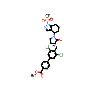 CC(C)(C)OC(=O)c1ccc(-c2cc(Cl)c(C[C@@H]3CCN(C4CCCc5c4cnn5S(=O)(=O)C(F)(F)F)C3=O)c(Cl)c2)cc1